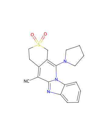 N#Cc1c2c(c(N3CCCC3)n3c1nc1ccccc13)CS(=O)(=O)CC2